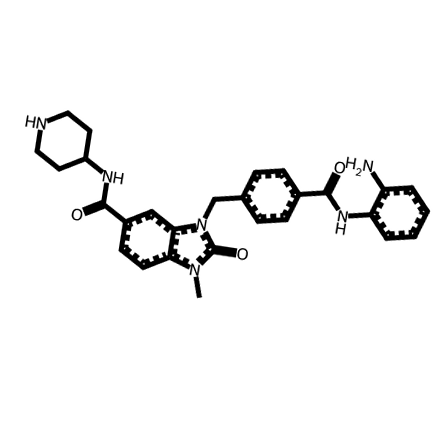 Cn1c(=O)n(Cc2ccc(C(=O)Nc3ccccc3N)cc2)c2cc(C(=O)NC3CCNCC3)ccc21